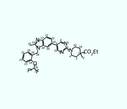 CCOC(=O)C1(C)CCN(c2ncc(-c3ccc4nc(C)n(Cc5ccccc5OC(F)F)c4c3)cn2)CC1